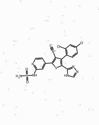 [C-]#[N+]c1c(-c2ccnc(NS(N)(=O)=O)c2)sc(-c2nnc[nH]2)c1-c1ccc(Cl)cc1Cl